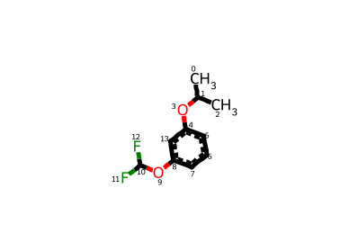 CC(C)Oc1cccc(OC(F)F)c1